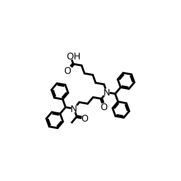 CC(=O)N(CCCC(=O)N(CCCCCC(=O)O)C(c1ccccc1)c1ccccc1)C(c1ccccc1)c1ccccc1